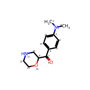 CN(C)c1ccc(C(=O)C2CNCCO2)cc1